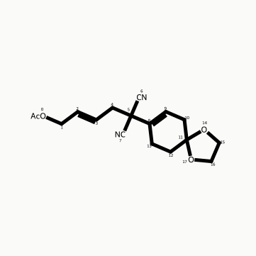 CC(=O)OCC=CCC(C#N)(C#N)C1=CCC2(CC1)OCCO2